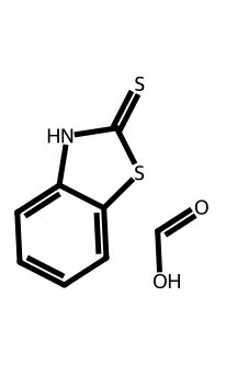 O=CO.S=c1[nH]c2ccccc2s1